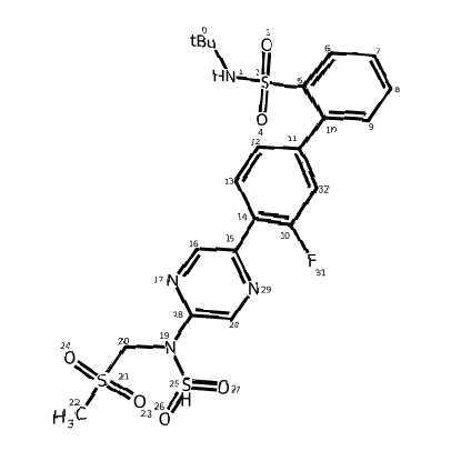 CC(C)(C)NS(=O)(=O)c1ccccc1-c1ccc(-c2cnc(N(CS(C)(=O)=O)[SH](=O)=O)cn2)c(F)c1